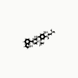 CN(C)CCN(C)c1cc(OC(F)F)c(Nc2ncnc(-c3cccc4cc[nH]c34)n2)cc1N